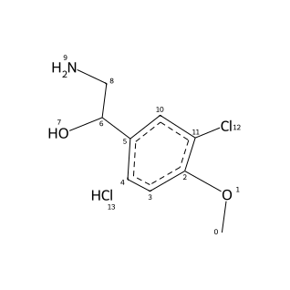 COc1ccc(C(O)CN)cc1Cl.Cl